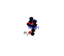 COc1ccccc1-c1ccc(C(=N)NC(/N=C(\C)c2ccccc2)c2cccc3c2oc2c(-n4c5ccccc5c5ccccc54)cccc23)cc1